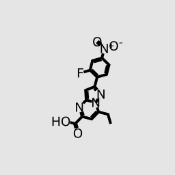 CCc1cc(C(=O)O)nc2cc(-c3ccc([N+](=O)[O-])cc3F)nn12